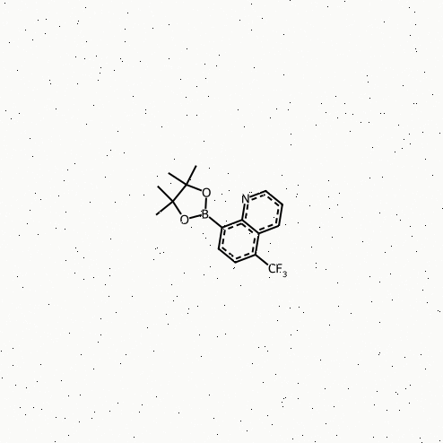 CC1(C)OB(c2ccc(C(F)(F)F)c3cccnc23)OC1(C)C